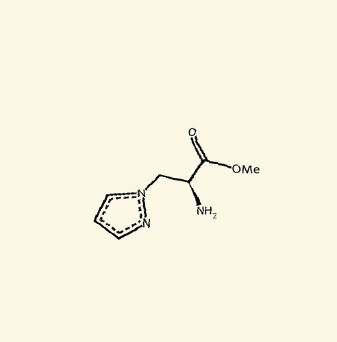 COC(=O)[C@@H](N)Cn1cccn1